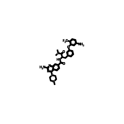 CN1CCN(c2nc(N)nc3cc(C(=O)NC(Cc4cccc(Oc5cc(N)ccc5C(F)(F)F)c4)C(=O)N(C)C)ccc23)CC1